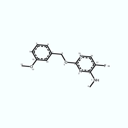 CNc1nc(OCc2cccc(OC)c2)ncc1F